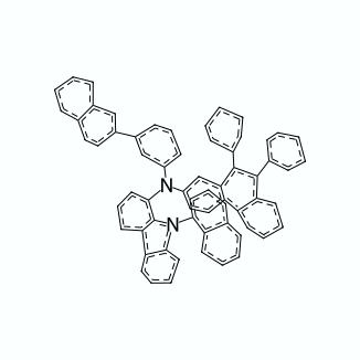 c1ccc(-c2c(-c3ccccc3)c3cc(N(c4cccc(-c5ccc6ccccc6c5)c4)c4cccc5c6ccccc6n(-c6cccc7ccccc67)c45)ccc3c3ccccc23)cc1